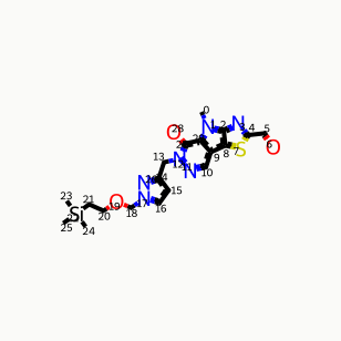 Cn1c2nc(C=O)sc2c2cnn(Cc3ccn(COCC[Si](C)(C)C)n3)c(=O)c21